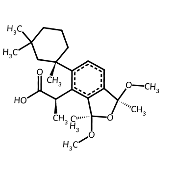 CO[C@@]1(C)O[C@@](C)(OC)c2c1ccc([C@@]1(C)CCCC(C)(C)C1)c2[C@@H](C)C(=O)O